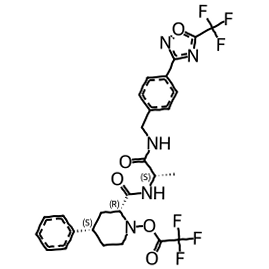 C[C@H](NC(=O)[C@H]1C[C@@H](c2ccccc2)CCN1OC(=O)C(F)(F)F)C(=O)NCc1ccc(-c2noc(C(F)(F)F)n2)cc1